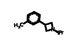 Cc1cccc(C2CN(C(C)C)C2)c1